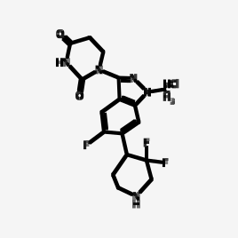 Cl.Cn1nc(N2CCC(=O)NC2=O)c2cc(F)c(C3CCNCC3(F)F)cc21